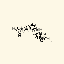 CC(C)(C)OC(=O)Nc1cccc(Nc2ccnc(S(C)(=O)=O)n2)c1